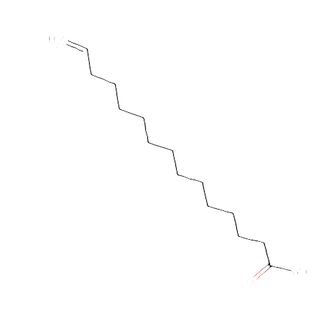 C=CCCCCCCCCCCCCC(=O)CCC